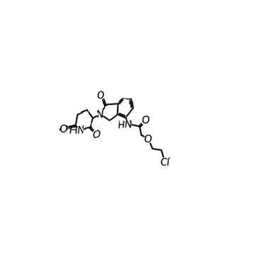 O=C1CCC(N2Cc3c(NC(=O)COCCCl)cccc3C2=O)C(=O)N1